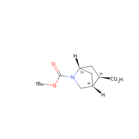 CC(C)(C)OC(=O)N1C[C@@H]2C[C@H]1C[C@H]2C(=O)O